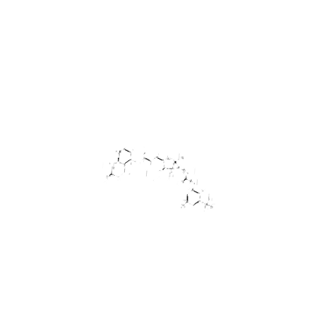 C=C1/C(=C\C=C(/C)Oc2ccnc3c2CCC(=O)N3)O[C@@H]2[C@@H](NC(=O)Nc3cc(F)cc(C(F)(F)F)c3)[C@H]12